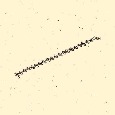 S=P(=S)SSSSSSSSSSSSSSSSSSSSSSSSSSSSSSSSSSSSSSSS